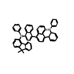 CC1(C)c2ccccc2-c2c(N(c3ccccc3)c3ccc(-c4ccc(C5C=CC=CC5Nc5ccccc5)c5ccccc45)c4ccccc34)cccc21